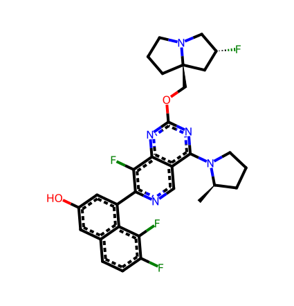 C[C@@H]1CCCN1c1nc(OC[C@@]23CCCN2C[C@H](F)C3)nc2c(F)c(-c3cc(O)cc4ccc(F)c(F)c34)ncc12